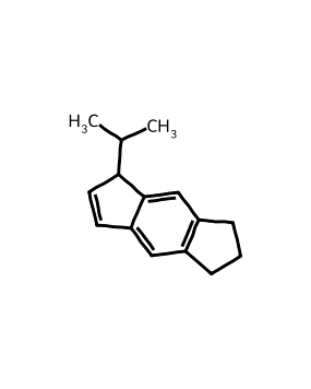 CC(C)C1C=Cc2cc3c(cc21)CCC3